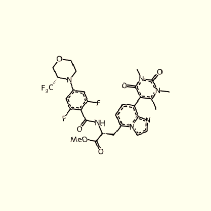 COC(=O)[C@H](Cc1ccc(-c2c(C)n(C)c(=O)n(C)c2=O)c2nccn12)NC(=O)c1c(F)cc(N2CCOC[C@H]2C(F)(F)F)cc1F